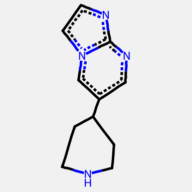 c1cn2cc(C3CCNCC3)cnc2n1